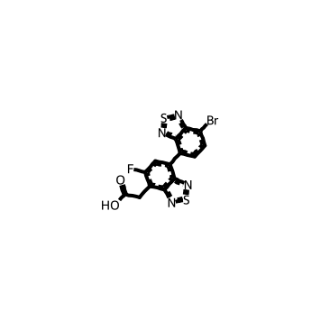 O=C(O)Cc1c(F)cc(-c2ccc(Br)c3nsnc23)c2nsnc12